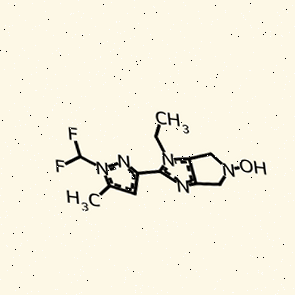 CCn1c(-c2cc(C)n(C(F)F)n2)nc2c1CN(O)C2